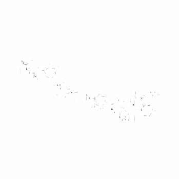 CO[C@@H](C(=O)N1Cc2[nH]nc(NC(=O)c3ccc(N4CCC(N5CCN(Cc6cccc(C7CCC(=O)NC7=O)c6)CC5)CC4)cc3)c2C1)c1ccccc1